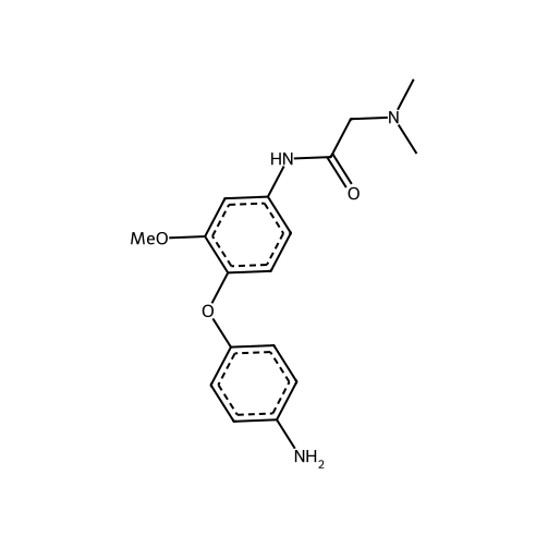 COc1cc(NC(=O)CN(C)C)ccc1Oc1ccc(N)cc1